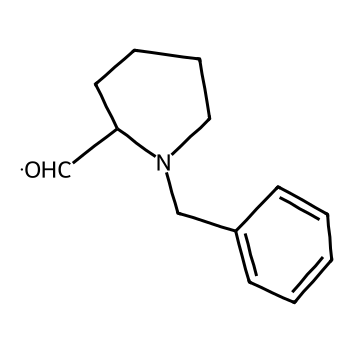 O=[C]C1CCCCN1Cc1ccccc1